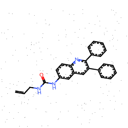 C=CCNC(=O)Nc1ccc2nc(-c3ccccc3)c(-c3ccccc3)cc2c1